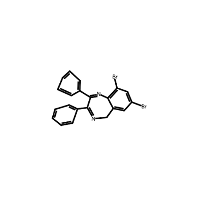 Brc1cc(Br)c2c(c1)CN=C(c1ccccc1)C(c1ccccc1)=N2